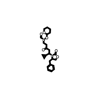 O=CN(CCC(=O)CC(C1CC1)N1C(=O)OCC1Cc1ccccc1)OC1CCCCO1